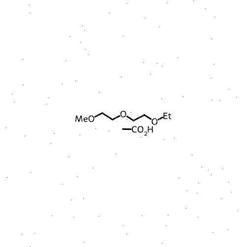 CC(=O)O.CCOCCOCCOC